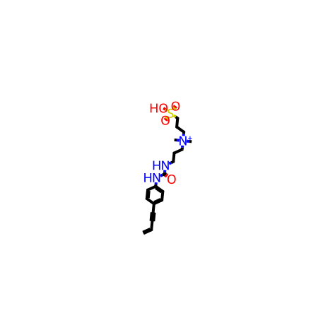 C=CC#Cc1ccc(NC(=O)NCCC[N+](C)(C)CCCS(=O)(=O)O)cc1